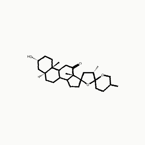 CC1CCC2(OC1)OC1(CCC3C4CC[C@H]5C[C@H](O)CC[C@]5(C)C4CC(=O)[C@@]31C)C[C@@H]2C